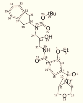 CCOc1cc(C(=O)N2C3CCC2COC3)ccc1C(=O)NCC(O)CN(C(=O)OC(C)(C)C)C1Cc2ccccc2C1